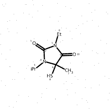 CCN1C(=O)N(C(C)C)C(C)(S)C1=O